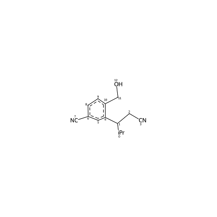 CC(C)C(CC#N)c1cc(C#N)ccc1CO